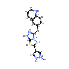 Cn1cc(-c2nn3c(Cc4ccc5ncccc5c4)nnc3s2)cn1